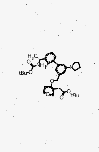 C[C@@H](NC(=O)OC(C)(C)C)c1cccc(-c2cc(COc3ccccc3CC(=O)OC(C)(C)C)cc(N3CCCC3)c2)c1F